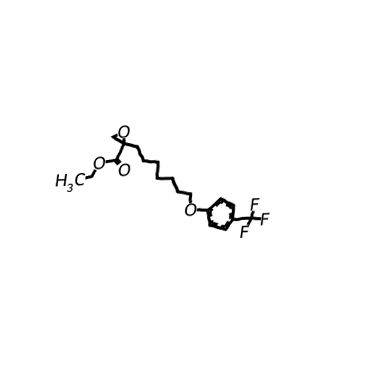 CCOC(=O)C1(CCCCCCCOc2ccc(C(F)(F)F)cc2)CO1